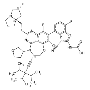 CC(C)[Si](C#C[C@H]1COc2c(Cl)c(-c3ccc(F)c4sc(NC(=O)O)c(C#N)c34)c(F)c3nc(OC[C@@]45CCCN4C[C@H](F)C5)nc(c23)N1C1CCOC1)(C(C)C)C(C)C